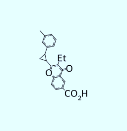 CCc1c(C2CC2c2cccc(C)c2)oc2ccc(C(=O)O)cc2c1=O